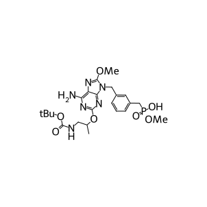 COc1nc2c(N)nc(OC(C)CNC(=O)OC(C)(C)C)nc2n1Cc1cccc(CP(=O)(O)OC)c1